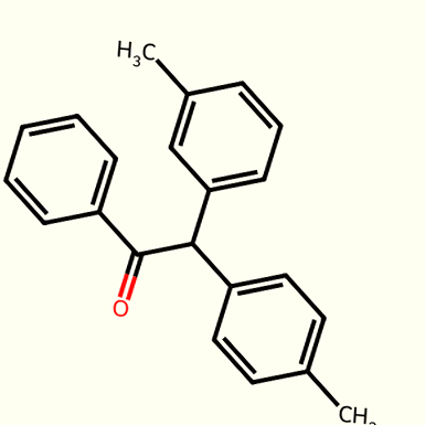 Cc1ccc(C(C(=O)c2ccccc2)c2cccc(C)c2)cc1